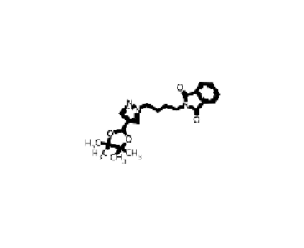 CC1(C)OC(c2cnn(CCCCN3C(=O)c4ccccc4C3=O)c2)OC1(C)C